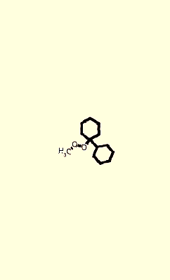 COOC1(C2CCCCC2)CCCCC1